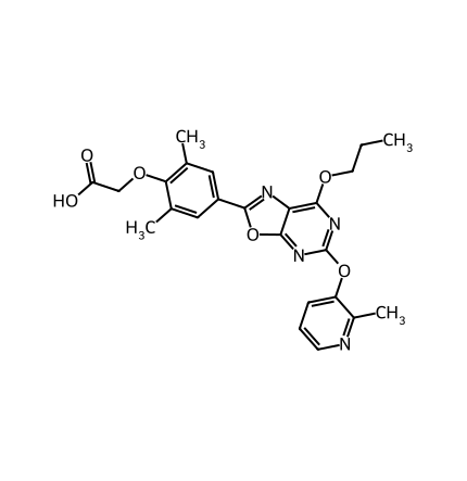 CCCOc1nc(Oc2cccnc2C)nc2oc(-c3cc(C)c(OCC(=O)O)c(C)c3)nc12